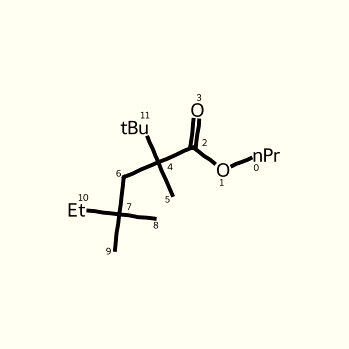 CCCOC(=O)C(C)(CC(C)(C)CC)C(C)(C)C